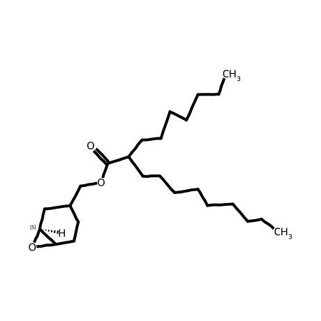 CCCCCCCCCC(CCCCCCC)C(=O)OCC1CCC2O[C@H]2C1